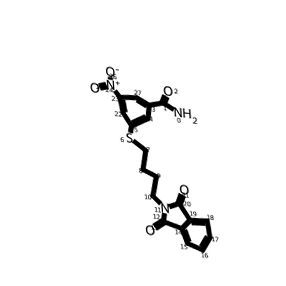 NC(=O)c1cc(SCCCCN2C(=O)c3ccccc3C2=O)cc([N+](=O)[O-])c1